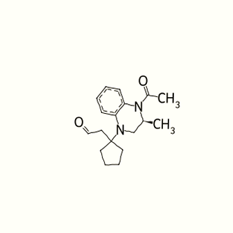 CC(=O)N1c2ccccc2N(C2(CC=O)CCCC2)C[C@@H]1C